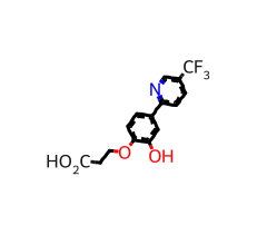 O=C(O)CCOc1ccc(-c2ccc(C(F)(F)F)cn2)cc1O